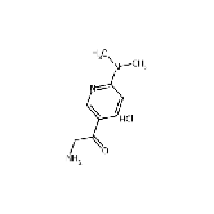 CN(C)c1ccc(C(=O)CN)cn1.Cl